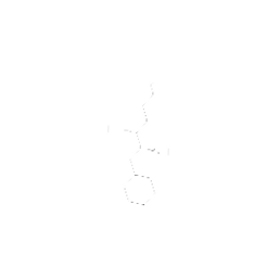 CCCC[C@H](O)[C@@H]([NH])CC1CCCCC1